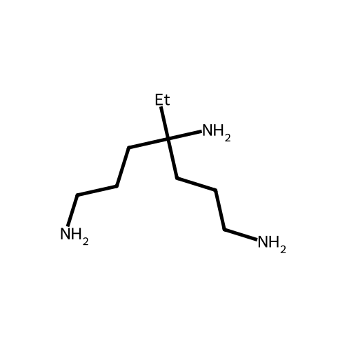 CCC(N)(CCCN)CCCN